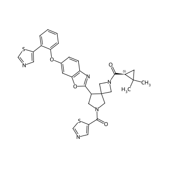 CC1(C)C[C@@H]1C(=O)N1CC2(CN(C(=O)c3cncs3)CC2c2nc3ccc(Oc4ccccc4-c4cncs4)cc3o2)C1